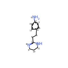 Nc1ccc(CCC2=NCCCN2)cc1